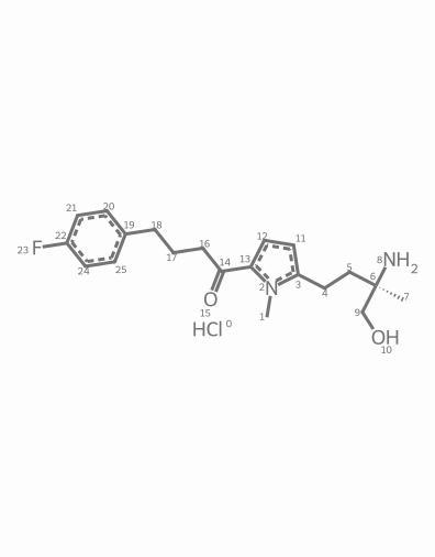 Cl.Cn1c(CC[C@@](C)(N)CO)ccc1C(=O)CCCc1ccc(F)cc1